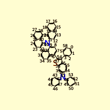 c1ccc(-c2c(-c3ccc(N(c4ccc5ccccc5c4)c4cccc5ccccc45)c4ccccc34)sc3cc(N(c4ccccc4)c4ccccc4)ccc23)cc1